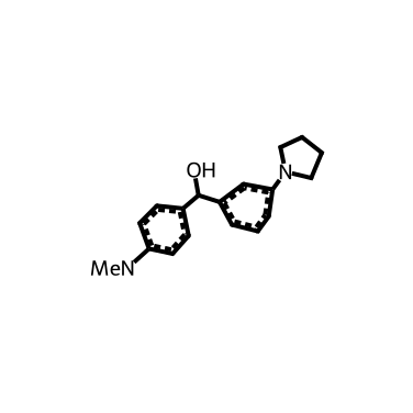 CNc1ccc(C(O)c2cccc(N3CCCC3)c2)cc1